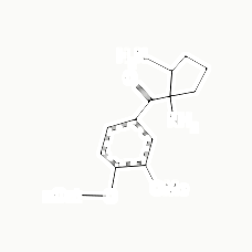 CCCCCCCCOc1ccc(C(=O)C2(N)CCCC2N)cc1OC